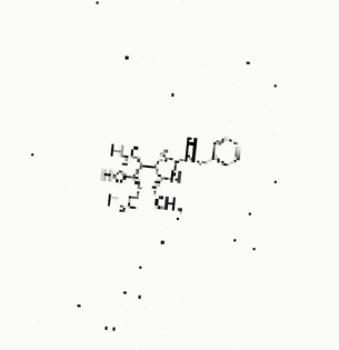 Cc1c(O)c(C)c2sc(NCc3ccccc3)nc2c1C